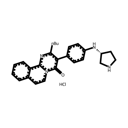 CCCCc1nc2c3ccccc3ccn2c(=O)c1-c1ccc(N[C@@H]2CCNC2)cc1.Cl